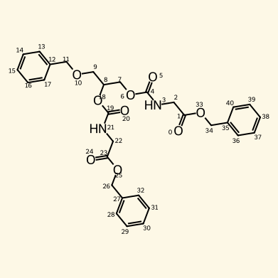 O=C(CNC(=O)OCC(COCc1ccccc1)OC(=O)NCC(=O)OCc1ccccc1)OCc1ccccc1